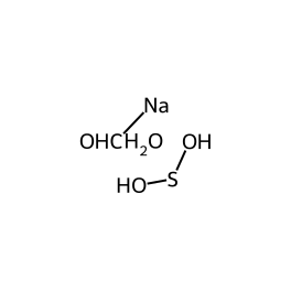 O.O=[CH][Na].OSO